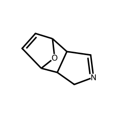 C1=CC2OC1C1C=NCC21